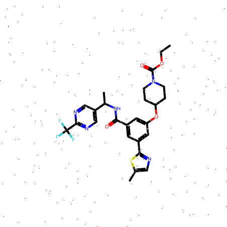 CCOC(=O)N1CCC(Oc2cc(C(=O)NC(C)c3cnc(C(F)(F)F)nc3)cc(-c3ncc(C)s3)c2)CC1